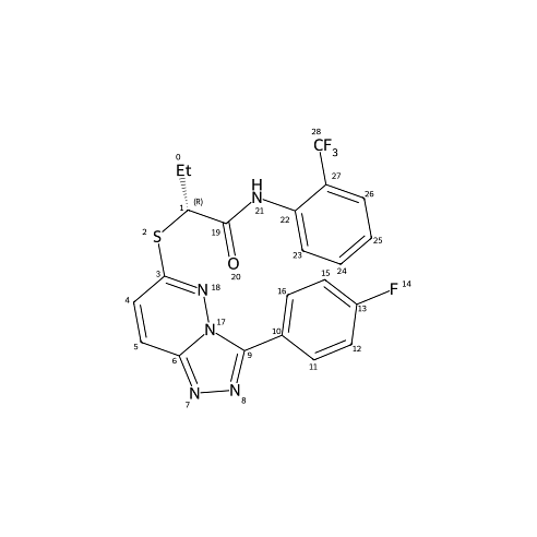 CC[C@@H](Sc1ccc2nnc(-c3ccc(F)cc3)n2n1)C(=O)Nc1ccccc1C(F)(F)F